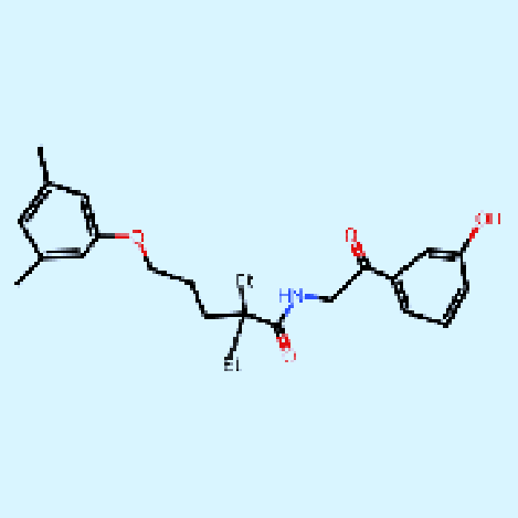 CCC(CC)(CCCOc1cc(C)cc(C)c1)C(=O)NCC(=O)c1cccc(O)c1